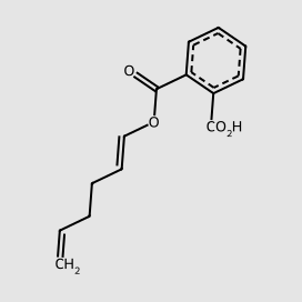 C=CCCC=COC(=O)c1ccccc1C(=O)O